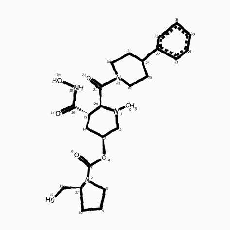 CN1C[C@@H](OC(=O)N2CCC[C@H]2CO)C[C@H](C(=O)NO)[C@H]1C(=O)N1CCC(c2ccccc2)CC1